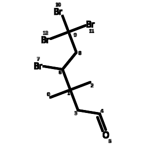 CC(C)(CC=O)C(Br)CC(Br)(Br)Br